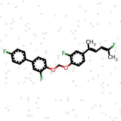 C/C(F)=C\C=C(/C)c1ccc(OCOc2ccc(-c3ccc(F)cc3)cc2F)c(F)c1